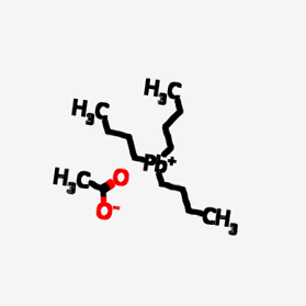 CC(=O)[O-].CCC[CH2][Pb+]([CH2]CCC)[CH2]CCC